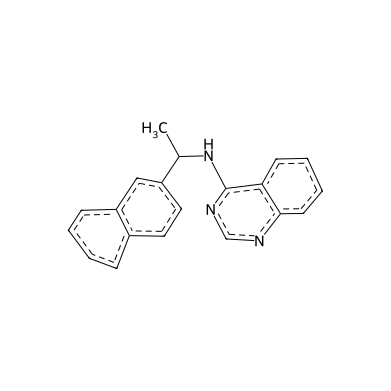 CC(Nc1ncnc2ccccc12)c1ccc2ccccc2c1